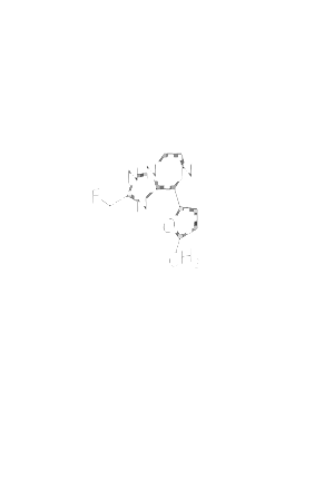 Cc1ccc(-c2nccn3nc(CF)nc23)o1